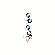 C[C@@H]1OCC2(CCN(c3cnc(Sc4ccnc(-c5cnccn5)c4Cl)cn3)CC2)[C@@H]1N